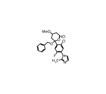 COC1CCOC(OCc2ccccc2)(c2cc(F)c(-n3ccnc3C)cc2Cl)C1.Cl